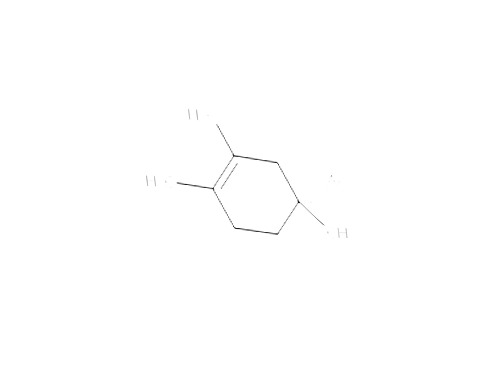 CC(=O)[C@]1(C)CCC(C)=C(C)C1